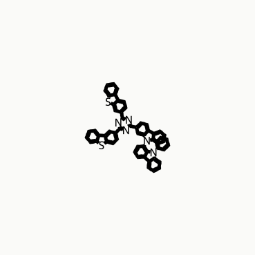 c1ccc(-n2c3ccccc3c3cccc(-n4c5ccccc5c5ccc(-c6nc(-c7ccc8c(c7)sc7ccccc78)nc(-c7ccc8sc9ccccc9c8c7)n6)cc54)c32)cc1